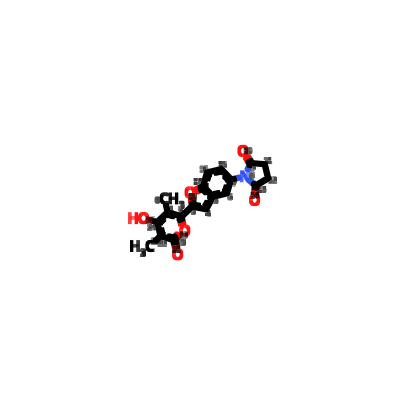 Cc1c(-c2cc3cc(N4C(=O)CCC4=O)ccc3o2)oc(=O)c(C)c1O